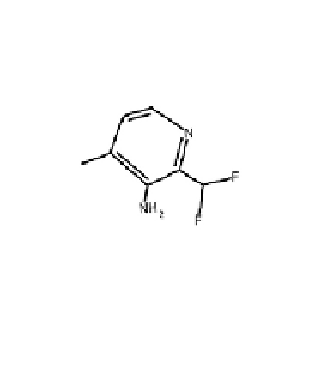 Cc1ccnc(C(F)F)c1N